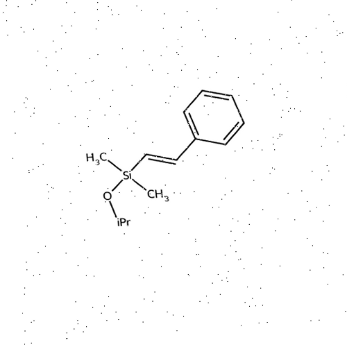 CC(C)O[Si](C)(C)C=Cc1ccccc1